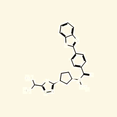 CC(C)c1nnc([C@H]2CC[C@@H](N(C)C(=O)c3ccc(-c4nc5ccccc5o4)cc3)C2)o1